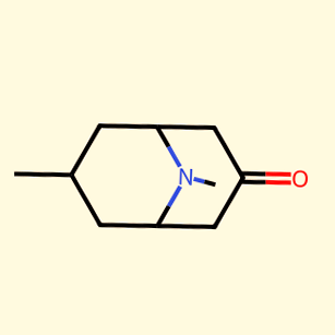 CC1CC2CC(=O)CC(C1)N2C